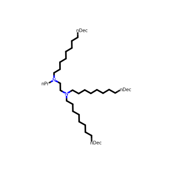 CCCCCCCCCCCCCCCCCCN(CCC)CCN(CCCCCCCCCCCCCCCCCC)CCCCCCCCCCCCCCCCCC